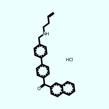 C=CCCNCc1ccc(-c2ccc(C(=O)c3ccc4ccccc4c3)cc2)cc1.Cl